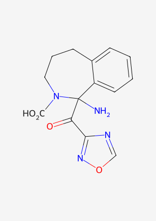 NC1(C(=O)c2ncon2)c2ccccc2CCCN1C(=O)O